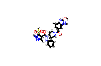 COc1nc2c(C)cc(C(=O)N3CC[C@@H](NC(=O)c4c(C)nn(C)c4S(C)(=O)=O)[C@@H](c4ccccc4)C3)cc2n1C